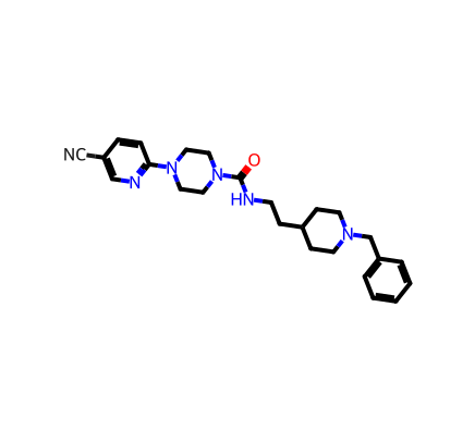 N#Cc1ccc(N2CCN(C(=O)NCCC3CCN(Cc4ccccc4)CC3)CC2)nc1